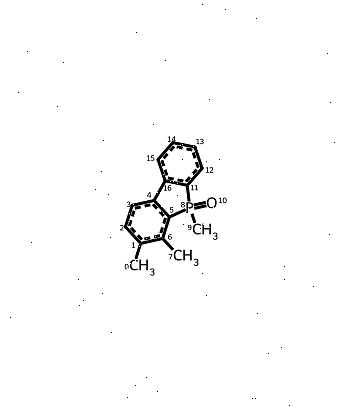 Cc1ccc2c(c1C)P(C)(=O)c1ccccc1-2